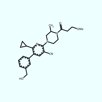 COCCC(=O)N1CCN(c2nc(C3CC3)c(-c3cccc(CO)c3)cc2C#N)CC1C